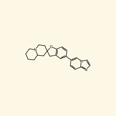 c1cn2cc(-c3ccc4c(c3)CC3(CCN5CCCCC5C3)O4)ccc2n1